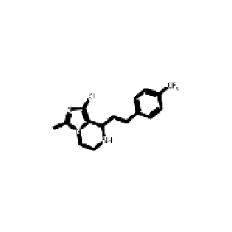 Cc1nc(Cl)c2n1CCNC2CCc1ccc(C(F)(F)F)cc1